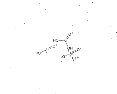 O=[Si](O)O.[Ca+2].[O]=[Al][O-].[O]=[Al][O-]